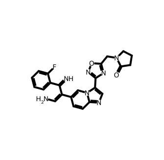 N=C(/C(=C\N)c1ccc2ncc(-c3noc(CN4CCCC4=O)n3)n2c1)c1ccccc1F